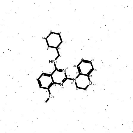 COc1cccc2c(NCC3CCCCC3)nc(N3CCOc4ccccc43)nc12